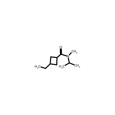 CCC1CC(C(=O)N(C)C(C)C)C1